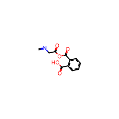 C=NCC(=O)OC(=O)c1ccccc1C(=O)O